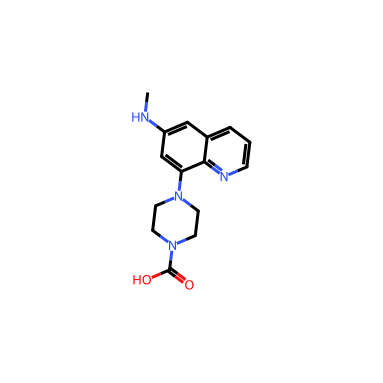 CNc1cc(N2CCN(C(=O)O)CC2)c2ncccc2c1